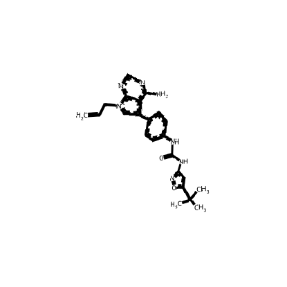 C=CCn1cc(-c2ccc(NC(=O)Nc3cc(C(C)(C)C)on3)cc2)c2c(N)ncnc21